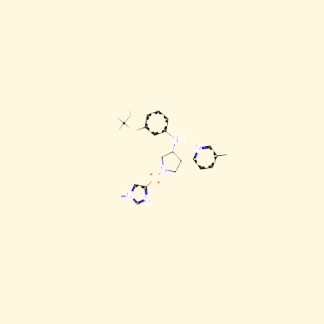 Cn1cnc(S(=O)(=O)N2C[C@@H](Nc3cccc(OC(F)(F)F)c3)[C@H](c3ccc(F)cn3)C2)c1